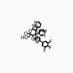 COC1(c2cccnc2)[C@H](S)OC(Cl)(CO)[C@@H](O)[C@@]1(c1cccnc1)n1cc(-c2cc(F)c(F)c(F)c2)nn1